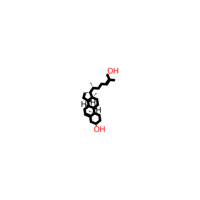 CC(=CCC[C@@H](C)[C@H]1CC[C@H]2[C@@H]3CC=C4C[C@@H](O)CC[C@]4(C)[C@H]3CC[C@]12C)CO